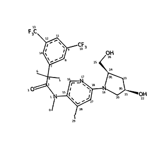 CN(C(=O)C(C)(C)c1cc(C(F)(F)F)cc(C(F)(F)F)c1)c1cnc(N2C[C@H](O)C[C@@H]2CO)cc1I